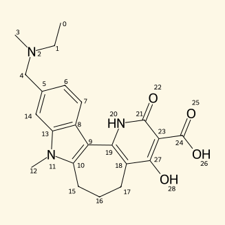 CCN(C)Cc1ccc2c3c(n(C)c2c1)CCCc1c-3[nH]c(=O)c(C(=O)O)c1O